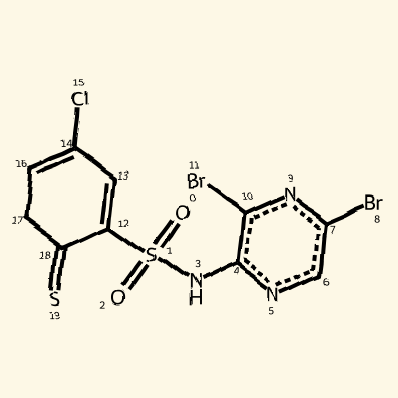 O=S(=O)(Nc1ncc(Br)nc1Br)C1=CC(Cl)=CCC1=S